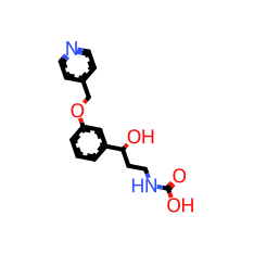 O=C(O)NCCC(O)c1cccc(OCc2ccncc2)c1